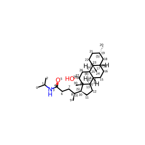 CC(C)NC(=O)CC[C@H](C)[C@@H]1CC[C@@H]2[C@H]3CC[C@H]4C[C@@H](C)CC[C@@]4(C)[C@@H]3C[C@@H](O)[C@]21C